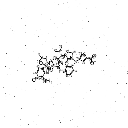 CC(C)CN(C[C@@H](O)[C@H](Cc1ccccc1)NC(=O)[C@H](C(C)C)N1CCN(Cc2csc([N+](=O)[O-])c2)C1=O)S(=O)(=O)c1ccc(Cl)c(N)c1